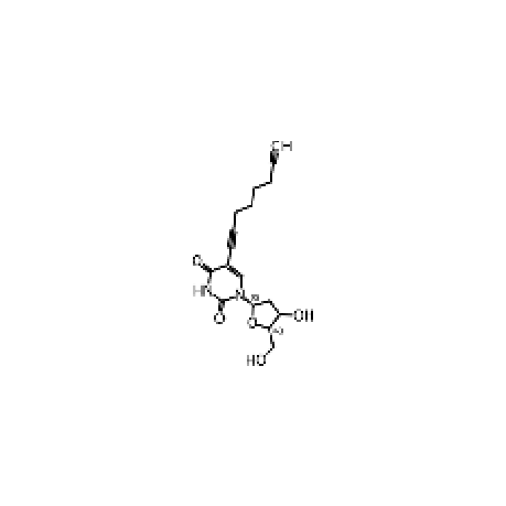 C#CCCCCC#Cc1cn([C@H]2CC(O)[C@@H](CO)O2)c(=O)[nH]c1=O